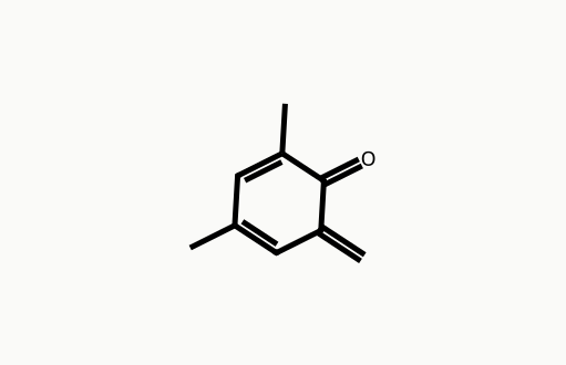 C=C1C=C(C)C=C(C)C1=O